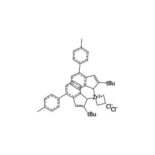 Cc1ccc(-c2cccc3c2C=C(C(C)(C)C)[CH]3[Zr+2]2([CH]3C(C(C)(C)C)=Cc4c(-c5ccc(C)cc5)cccc43)[CH2]C[CH2]2)cc1.[Cl-].[Cl-]